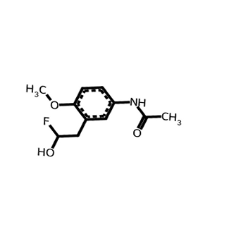 COc1ccc(NC(C)=O)cc1CC(O)F